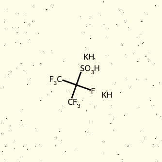 O=S(=O)(O)C(F)(C(F)(F)F)C(F)(F)F.[KH].[KH]